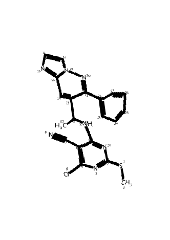 CSc1nc(Cl)c(C#N)c(NC(C)c2cc3nccn3nc2-c2ccccc2)n1